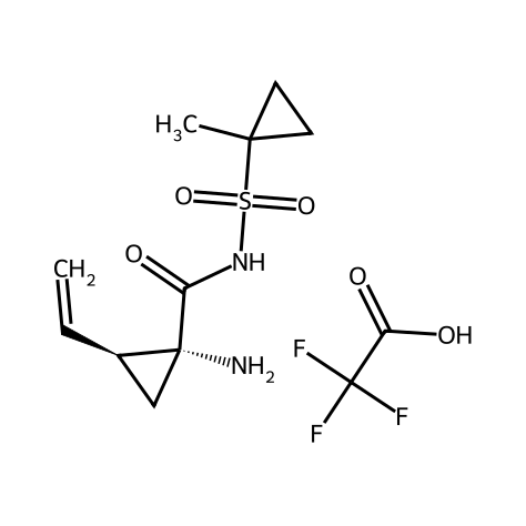 C=C[C@@H]1C[C@]1(N)C(=O)NS(=O)(=O)C1(C)CC1.O=C(O)C(F)(F)F